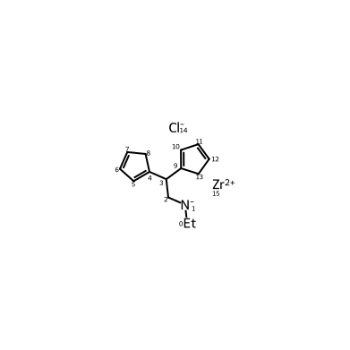 CC[N-]CC(C1=CC=CC1)C1=CC=CC1.[Cl-].[Zr+2]